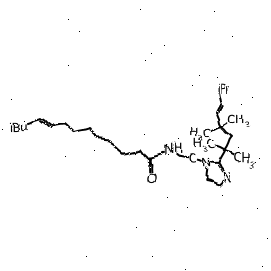 CCC(C)/C=C/CCCCCCCC(=O)NCCN1CCN=C1C(C)(C)CC(C)(C)/C=C/C(C)C